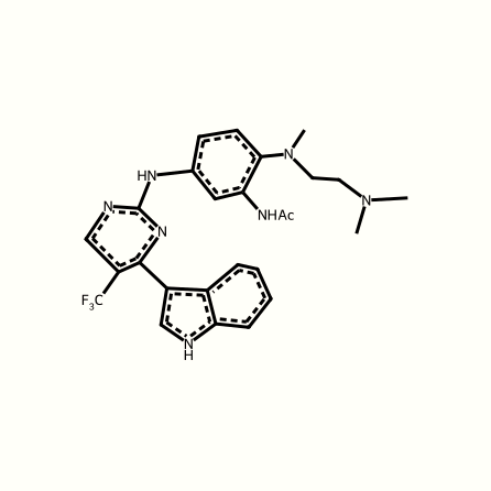 CC(=O)Nc1cc(Nc2ncc(C(F)(F)F)c(-c3c[nH]c4ccccc34)n2)ccc1N(C)CCN(C)C